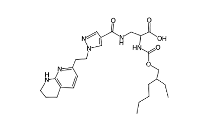 CCCCC(CC)COC(=O)NC(CNC(=O)c1cnn(CCc2ccc3c(n2)NCCC3)c1)C(=O)O